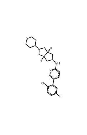 Fc1ccc(Cl)c(-c2ccc(N[C@H]3C[C@@H]4CN(C5CCOCC5)C[C@@H]4C3)nn2)c1